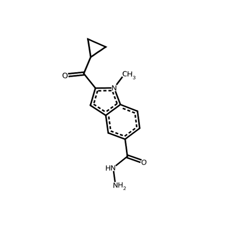 Cn1c(C(=O)C2CC2)cc2cc(C(=O)NN)ccc21